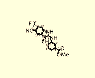 COC(=O)c1cccc(NC2Nc3cc(C(F)(F)F)c(C#N)cc3N2C)c1